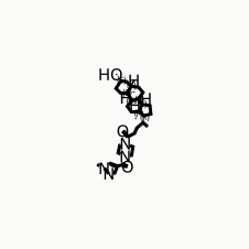 CC(CCC(=O)N1CCN(C(=O)c2cnn(C)c2)CC1)[C@H]1CC[C@H]2[C@@H]3CC[C@H]4C[C@@H](O)CC[C@]4(C)[C@H]3CC[C@]12C